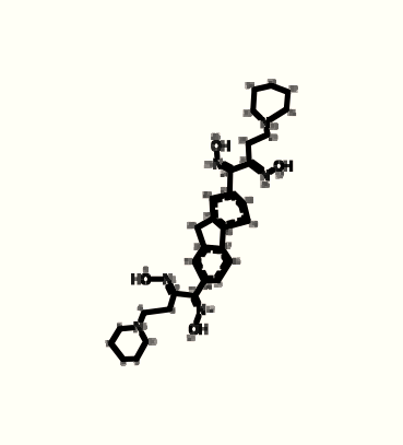 ON=C(CCN1CCCCC1)C(=NO)c1ccc2c(c1)Cc1cc(C(=NO)C(CCN3CCCCC3)=NO)ccc1-2